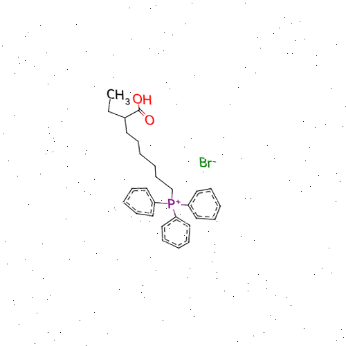 CCC(CCCCCC[P+](c1ccccc1)(c1ccccc1)c1ccccc1)C(=O)O.[Br-]